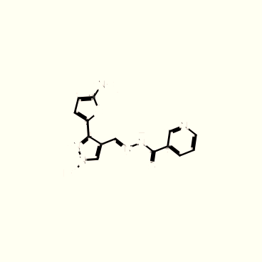 Cn1cc(C=NNC(=O)c2cccnc2)c(-c2ccc([N+](=O)[O-])o2)n1